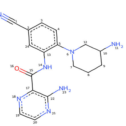 N#Cc1ccc(N2CCCC(N)C2)c(NC(=O)c2nccnc2N)c1